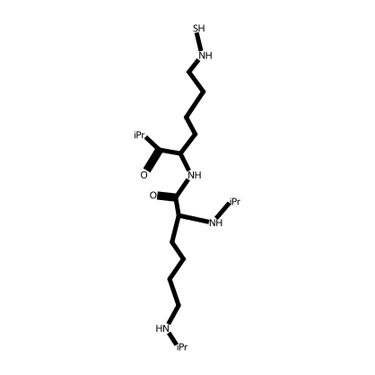 CC(C)NCCCCC(NC(C)C)C(=O)NC(CCCCNS)C(=O)C(C)C